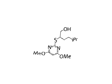 COc1cc(OC)nc(SC(CO)CCC(C)C)n1